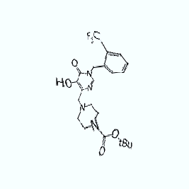 CC(C)(C)OC(=O)N1CCN(Cc2ncn(Cc3ccccc3C(F)(F)F)c(=O)c2O)CC1